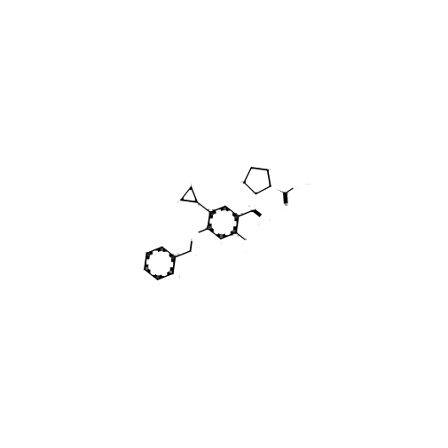 O=C(O)[C@@H]1CCC[C@H]1C(=O)c1cc(C2CC2)c(OCc2ccccc2)cc1F